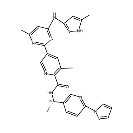 Cc1cc(Nc2cc(C)[nH]n2)nc(-c2cnc(C(=O)N[C@@H](C)c3ccc(-n4cccn4)nc3)c(C)c2)n1